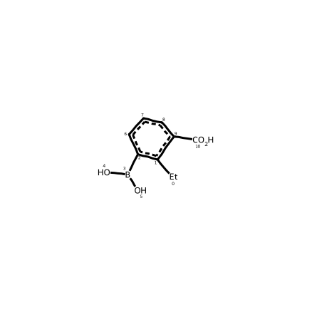 CCc1c(B(O)O)cccc1C(=O)O